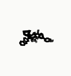 Cn1c(N2CCn3c(cc4c3CCCC4)C2)c(-c2ccccc2)nc(Nc2ccc(C3CCNCC3)cc2)c1=O